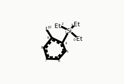 CC[Si](CC)(CC)c1ccccc1I